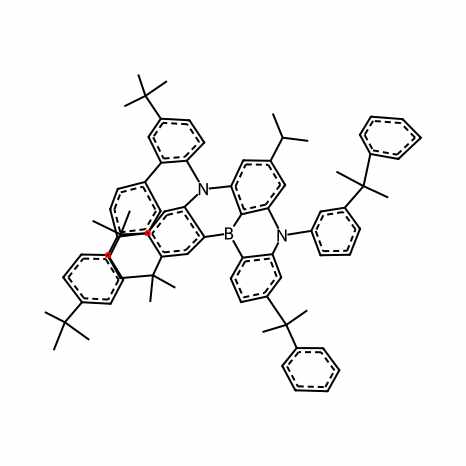 CC(C)c1cc2c3c(c1)N(c1ccc(C(C)(C)C)cc1-c1ccc(-c4ccc(C(C)(C)C)cc4)cc1)c1cc4c(cc1B3c1ccc(C(C)(C)c3ccccc3)cc1N2c1cccc(C(C)(C)c2ccccc2)c1)C(C)(C)CCC4(C)C